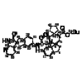 CC(C)(C)OC(=O)N1C[C@]2(CCc3ccccc32)N(CC(=O)Nc2ccc3c(c2)C[C@@]2(C3)C(=O)Nc3ncccc32)C(=O)C12CCCC2